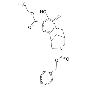 CCOC(=O)c1nc2n(c(=O)c1O)CC1CC2CN(C(=O)OCc2ccccc2)C1